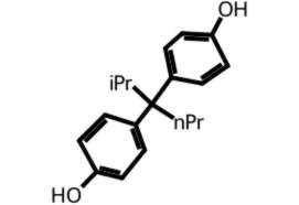 CCCC(c1ccc(O)cc1)(c1ccc(O)cc1)C(C)C